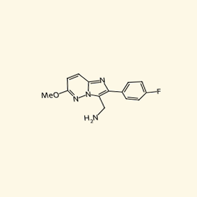 COc1ccc2nc(-c3ccc(F)cc3)c(CN)n2n1